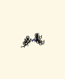 CCc1cc2cn(C/C=C/CP(=O)(OPOC)OPOC)c(=O)nc2o1